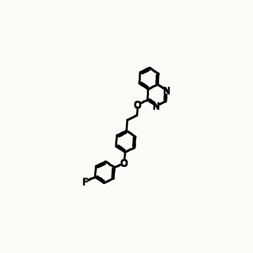 Fc1ccc(Oc2ccc(CCOc3ncnc4ccccc34)cc2)cc1